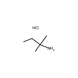 CCC(C)(C)N.Cl